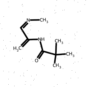 C=C(/C=N\C)NC(=O)C(C)(C)C